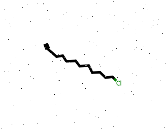 C#CCCCCCCCCCCCl